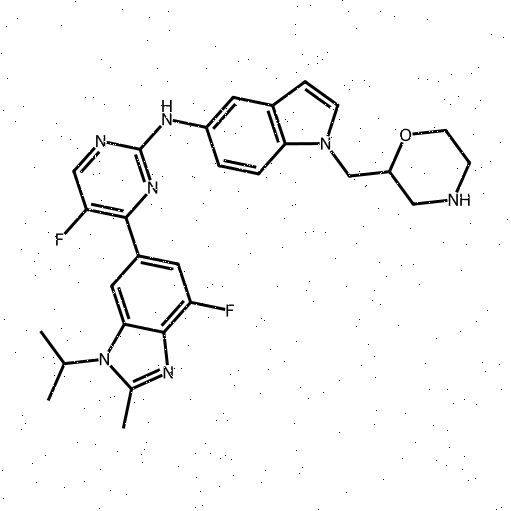 Cc1nc2c(F)cc(-c3nc(Nc4ccc5c(ccn5CC5CNCCO5)c4)ncc3F)cc2n1C(C)C